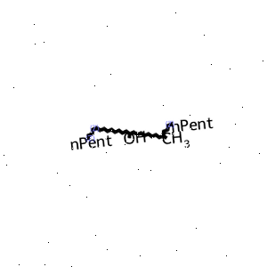 CCCCC/C=C\C/C=C\CCCCCCCCC(O)CCCCCCCCC(C)CC/C=C\CCCCC